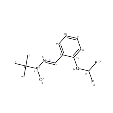 CC(C)(C)[S+]([O-])/N=C/c1ccccc1OC(F)F